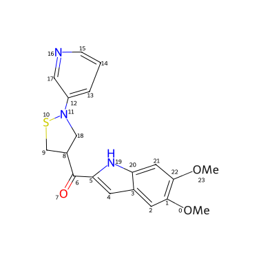 COc1cc2cc(C(=O)C3CSN(c4cccnc4)C3)[nH]c2cc1OC